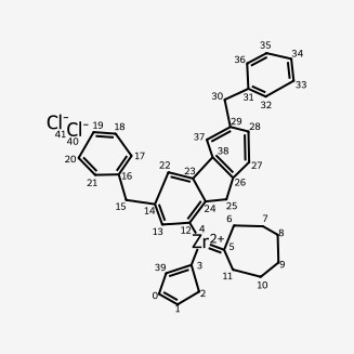 C1=CC[C]([Zr+2](=[C]2CCCCCC2)[c]2cc(Cc3ccccc3)cc3c2Cc2ccc(Cc4ccccc4)cc2-3)=C1.[Cl-].[Cl-]